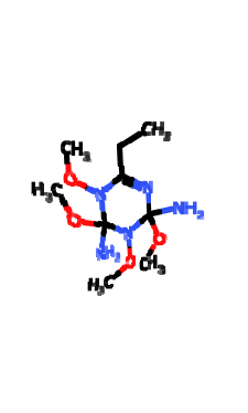 CCC1=NC(N)(OC)N(OC)C(N)(OC)N1OC